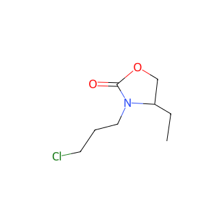 CCC1COC(=O)N1CCCCl